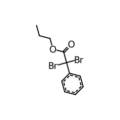 CCCOC(=O)C(Br)(Br)c1ccccc1